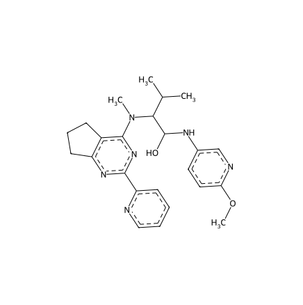 COc1ccc(NC(O)C(C(C)C)N(C)c2nc(-c3ccccn3)nc3c2CCC3)cn1